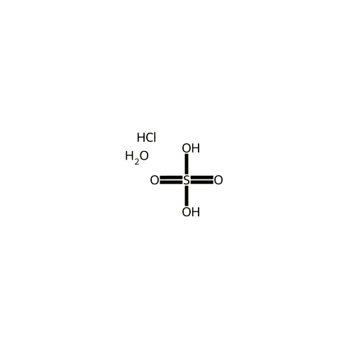 Cl.O.O=S(=O)(O)O